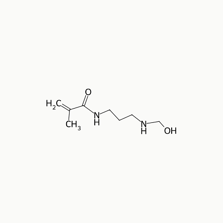 C=C(C)C(=O)NCCCNCO